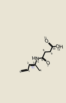 C=C/C=C(\C)NC(=O)CCC(=O)O